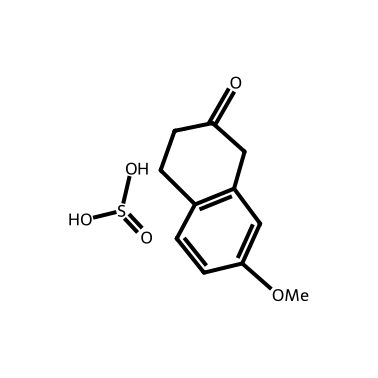 COc1ccc2c(c1)CC(=O)CC2.O=S(O)O